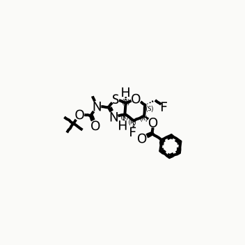 CN(C(=O)OC(C)(C)C)C1=N[C@@H]2[C@@H](F)[C@H](OC(=O)c3ccccc3)[C@@H](CF)O[C@@H]2S1